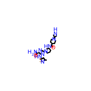 Cc1cc(Nc2nc(N3CCC[C@H](NC(=O)C4CCN(C5CNC5)CC4)C3)cnc2C(N)=O)sn1